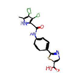 Cc1[nH]c(C(=O)Nc2ccc(-c3ncc(C(=O)O)s3)cc2)c(Cl)c1Cl